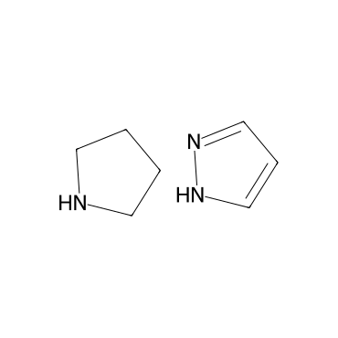 C1CCNC1.c1cn[nH]c1